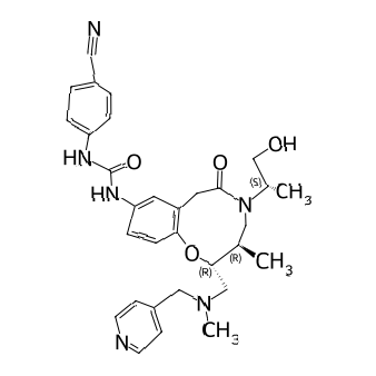 C[C@@H]1CN([C@@H](C)CO)C(=O)Cc2cc(NC(=O)Nc3ccc(C#N)cc3)ccc2O[C@H]1CN(C)Cc1ccncc1